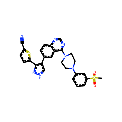 CS(=O)(=O)c1cccc(N2CCN(c3ncnc4ccc(-c5c[nH]nc5-c5ccc(C#N)s5)cc34)CC2)c1